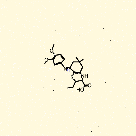 CCC1SC2=C(CC(C)(C)C/C2=N\c2ccc(OC)c(OC)c2)NC1C(=O)O